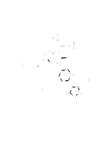 COc1cc(NC(=O)C(NC(=O)OC(C)(C)C)C(C2CC2)C2CC2)cnc1-c1c(C)n[nH]c1C